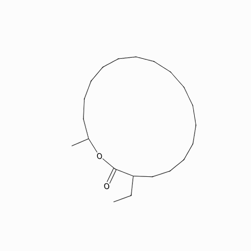 CCC1CCCCCCCCCCCCCCCC(C)OC1=O